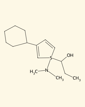 CCC(O)S1(N(C)C)C=CC(C2CCCCC2)=C1